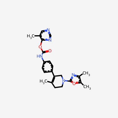 CC1=C(c2ccc(NC(=O)Oc3ncncc3C)cc2)CN(c2nc(C)c(C)o2)CC1